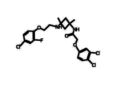 CC1(NCCOc2ccc(Cl)cc2F)CC(C)(NC(=O)COc2ccc(Cl)c(Cl)c2)C1